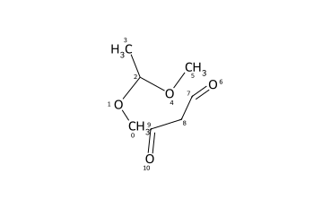 COC(C)OC.O=CCC=O